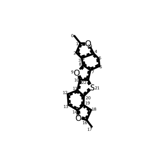 Cc1cc2c(ccc3c2oc2c4ccc5oc(C)cc5c4sc32)o1